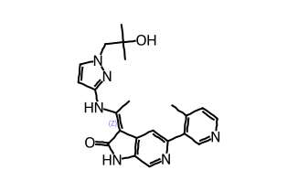 C/C(Nc1ccn(CC(C)(C)O)n1)=C1/C(=O)Nc2cnc(-c3cnccc3C)cc21